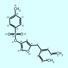 C=C/C=C(\C=C/C)Cc1cc(OS(=O)(=O)c2ccc(C)cc2)no1